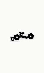 COc1ccc(N(C/C=C/c2ccccc2)C(C)C)cc1